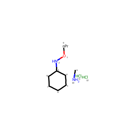 CCCONC1CCCCC1.CN.Cl.Cl